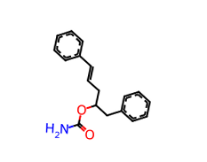 NC(=O)OC(C/C=C/c1ccccc1)Cc1ccccc1